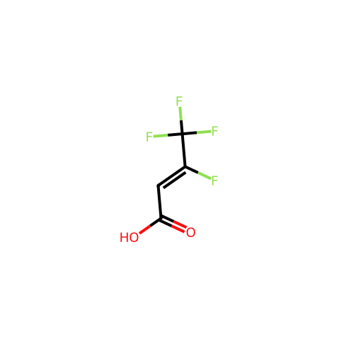 O=C(O)/C=C(\F)C(F)(F)F